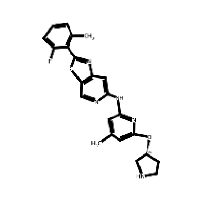 Cc1cc(Nc2cc3nc(-c4c(C)cccc4F)sc3cn2)nc(O[C@H]2CCNC2)c1